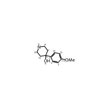 COc1ccc(C2(O)CC[N]CC2)cc1